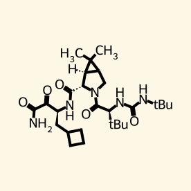 CC(C)(C)NC(=O)N[C@H](C(=O)N1CC2[C@@H]([C@H]1C(=O)N[C@@H](CC1CCC1)C(=O)C(N)=O)C2(C)C)C(C)(C)C